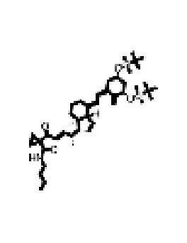 C=C1/C(=C\C=C2/CCC[C@]3(C)[C@@H]([C@H](C)/C=C/C(=O)C4(C(=O)NCCCC)CC4)CC[C@@H]23)C[C@@H](O[Si](C)(C)C(C)(C)C)C[C@@H]1O[Si](C)(C)C(C)(C)C